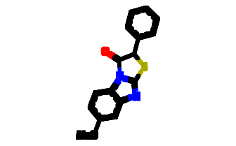 COc1ccc2c(c1)nc1n2C(=O)C(c2ccccc2)S1